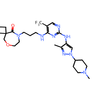 Cc1nn(C2CCN(C)CC2)cc1Nc1ncc(C(F)(F)F)c(NCCCN2CCOCC3(CCC3)C2=O)n1